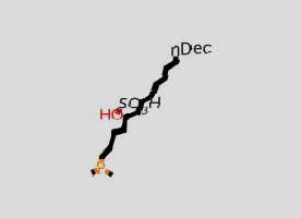 CCCCCCCCCCCCCCCCCCCCCCP(C)C.O=S(=O)(O)O